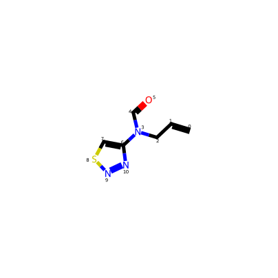 C=CCN([C]=O)c1csnn1